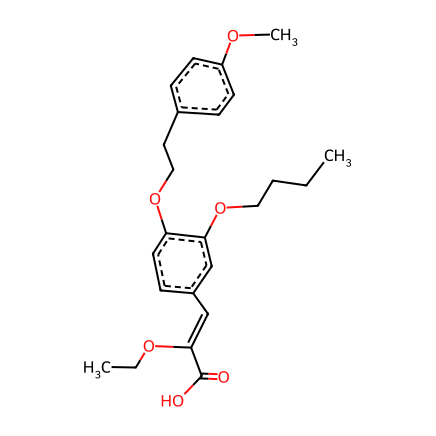 CCCCOc1cc(/C=C(\OCC)C(=O)O)ccc1OCCc1ccc(OC)cc1